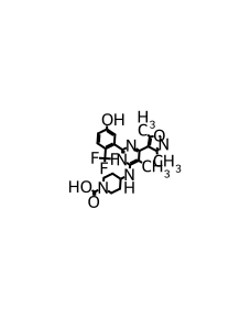 Cc1noc(C)c1-c1nc(-c2cc(O)ccc2C(F)(F)F)nc(NC2CCN(C(=O)O)CC2)c1C